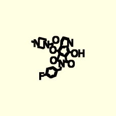 CN1CCN(C(=O)Oc2c3c(c(O)c4ncccc24)C(=O)N(Cc2ccc(F)cc2)C3=O)CC1